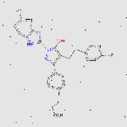 O=C(O)CCc1ccc(-c2nn(-c3nc4cc(Cl)ccc4[nH]3)c(O)c2CCc2ccc(F)cc2)cc1